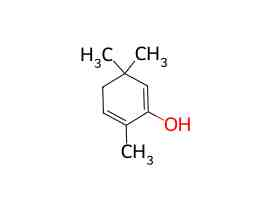 CC1=CCC(C)(C)C=C1O